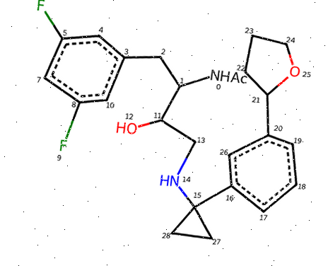 CC(=O)NC(Cc1cc(F)cc(F)c1)C(O)CNC1(c2cccc(C3CCCO3)c2)CC1